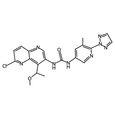 COC(C)c1c(NC(=O)Nc2cnc(-n3nccn3)c(C)c2)cnc2ccc(Cl)nc12